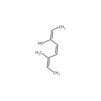 C\C=C(C)/C=C\C(O)=C/C